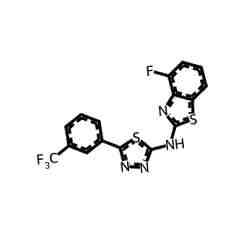 Fc1cccc2sc(Nc3nnc(-c4cccc(C(F)(F)F)c4)s3)nc12